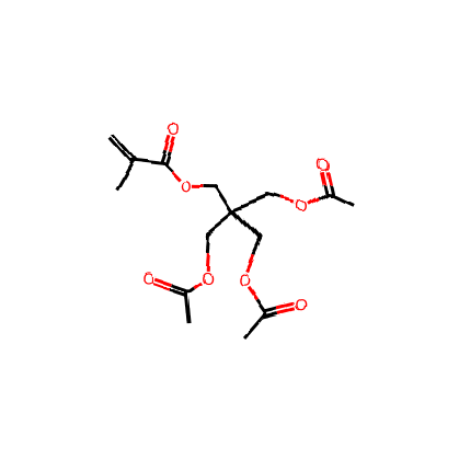 C=C(C)C(=O)OCC(COC(C)=O)(COC(C)=O)COC(C)=O